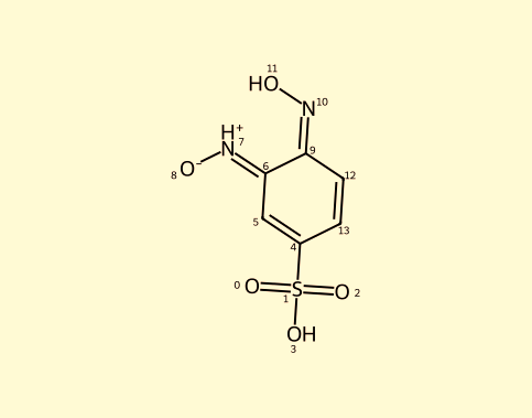 O=S(=O)(O)C1=CC(=[NH+]\[O-])/C(=N\O)C=C1